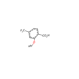 CCCOc1cc(C(F)(F)F)ccc1C(=O)O